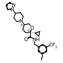 O=C(NCc1cc(F)cc(C(F)(F)F)c1)[C@@]1(C2CC2)CC[C@@H](N2CCC(n3cccn3)CC2)CO1